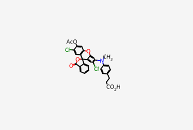 CC(=O)Oc1cc2c(cc1Cl)C1(OC(=O)c3ccccc31)c1cc(Cl)c(N(C)c3ccc(CCC(=O)O)cc3)cc1O2